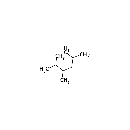 [CH2]C(C)CC(C)C(C)C